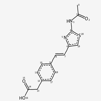 CC(=O)Nc1nc(C=Cc2ccc(CC(=O)O)cc2)cs1